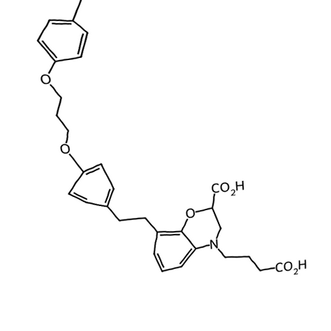 Cc1ccc(OCCCOc2ccc(CCc3cccc4c3OC(C(=O)O)CN4CCCC(=O)O)cc2)cc1